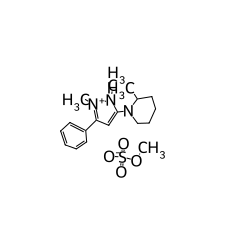 CC1CCCCN1c1cc(-c2ccccc2)[n+](C)n1C.COS(=O)(=O)[O-]